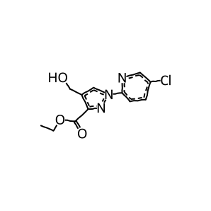 CCOC(=O)c1nn(-c2ccc(Cl)cn2)cc1CO